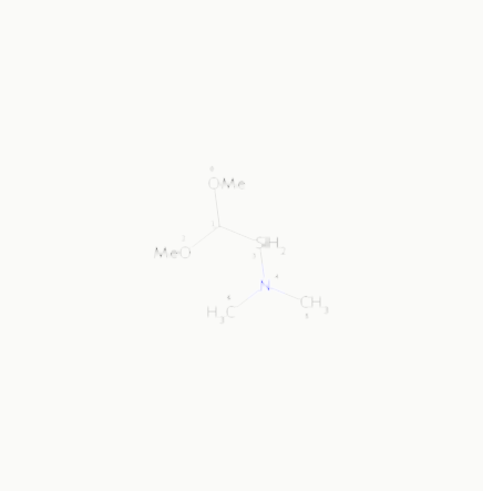 COC(OC)[SiH2]N(C)C